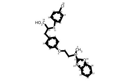 CN(CCOc1ccc(CC(Sc2ccc(Cl)cc2)C(=O)O)cc1)c1nc2ccccc2o1